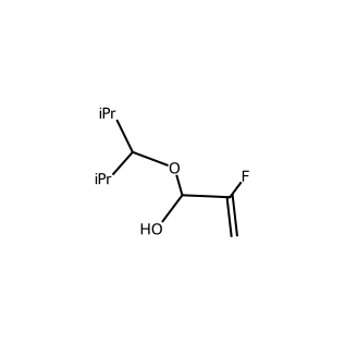 C=C(F)C(O)OC(C(C)C)C(C)C